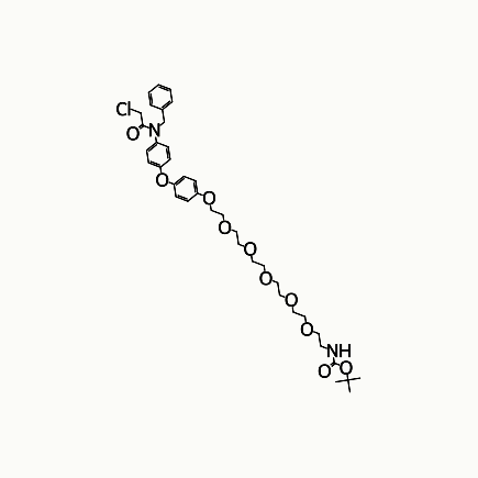 CC(C)(C)OC(=O)NCCOCCOCCOCCOCCOCCOc1ccc(Oc2ccc(N(Cc3ccccc3)C(=O)CCl)cc2)cc1